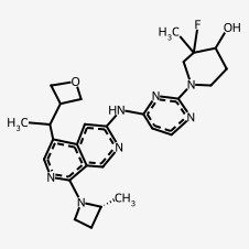 CC(c1cnc(N2CC[C@H]2C)c2cnc(Nc3ccnc(N4CCC(O)C(C)(F)C4)n3)cc12)C1COC1